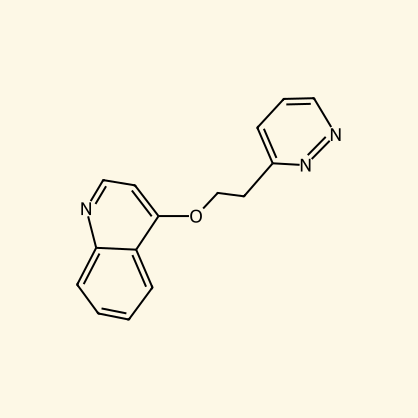 c1cnnc(CCOc2ccnc3ccccc23)c1